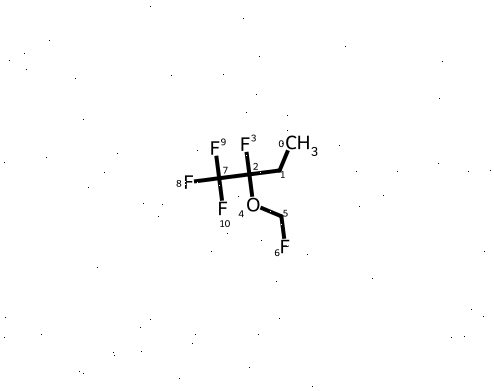 CCC(F)(OCF)C(F)(F)F